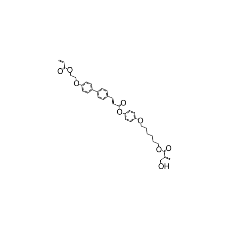 C=CC(=O)OCCOc1ccc(-c2ccc(/C=C/C(=O)Oc3ccc(OCCCCCCOC(=O)C(=C)CO)cc3)cc2)cc1